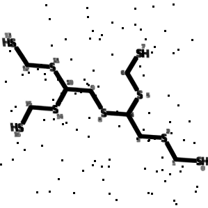 SCSCC(SCS)SCC(SCS)SCS